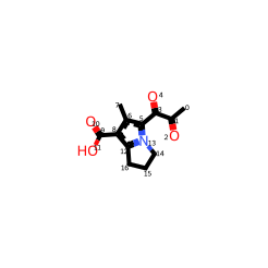 CC(=O)C(=O)c1c(C)c(C(=O)O)c2n1CCC2